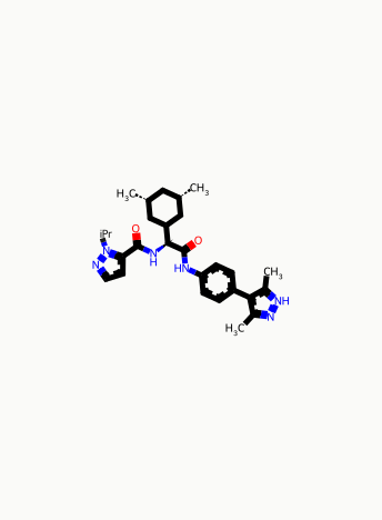 Cc1n[nH]c(C)c1-c1ccc(NC(=O)[C@@H](NC(=O)c2ccnn2C(C)C)C2C[C@@H](C)C[C@@H](C)C2)cc1